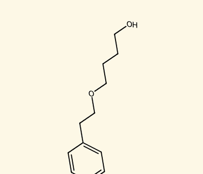 OCCCCOCCc1ccccc1